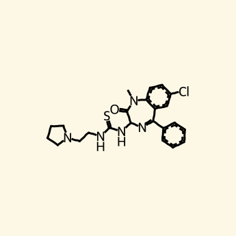 CN1C(=O)C(NC(=S)NCCN2CCCC2)N=C(c2ccccc2)c2cc(Cl)ccc21